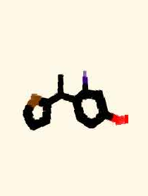 CC(c1cccs1)c1ccc(O)cc1I